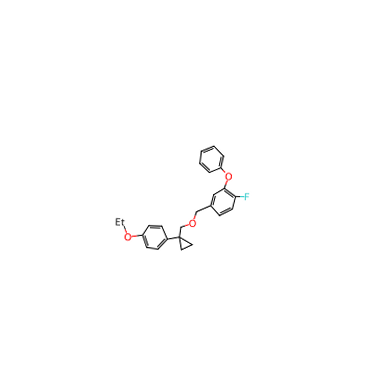 CCOc1ccc(C2(COCc3ccc(F)c(Oc4ccccc4)c3)CC2)cc1